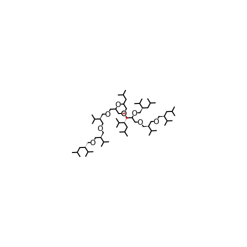 CC(C)CC(COC[C@H](CC(C)C)C(C)C)OC(COCC(COC[C@@H](COC[C@@H](CC(C)C)C(C)C)C(C)C)OC[C@H](CC(C)C)C(C)C)COC[C@@H](COC[C@H](COC[C@@H](CC(C)C)C(C)C)C(C)C)C(C)C